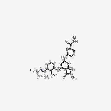 CCNC(=O)c1cccc(Nc2cc(Nc3cccc(/C(N)=N/N(C)N)c3OC)c3c(=O)n(C)[nH]c3n2)n1